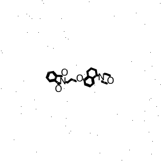 O=C1c2ccccc2C(=O)N1CCCOc1cccc2c1CCCC2N1CCOCC1